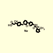 Cc1ccccc1NC(=O)Nc1ccc(-c2cccn(Cc3ccc([C@@H](C)CC(=O)O)cc3)c2=O)nc1.[Na]